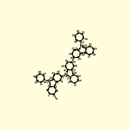 Cc1ccc2c(c1)c1cc(-n3c4ccccc4c4cc(-c5ccc6c(c5)c5ccccc5n6-c5ccccc5)ccc43)ccc1n2-c1ccccc1